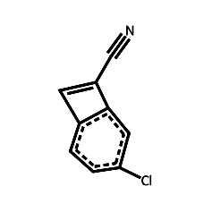 N#CC1=Cc2ccc(Cl)cc21